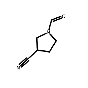 N#CC1CCN(C=O)C1